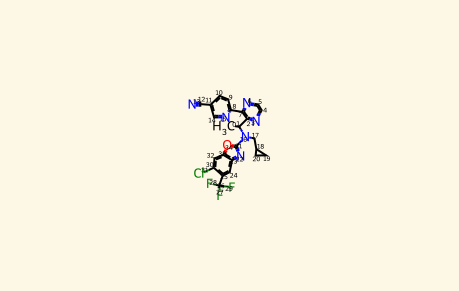 CC(c1nccnc1-c1ccc(C#N)cn1)N(CC1CC1)c1nc2cc(C(F)(F)F)c(Cl)cc2o1